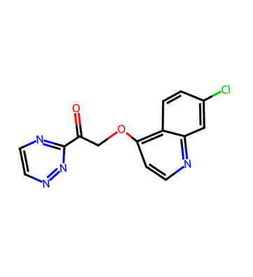 O=C(COc1ccnc2cc(Cl)ccc12)c1nccnn1